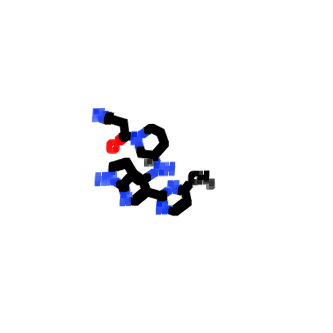 Cc1ccnc(-c2cnc3[nH]ccc3c2N[C@@H]2CCCN(C(=O)CC#N)C2)n1